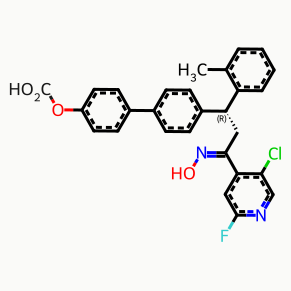 Cc1ccccc1[C@H](CC(=NO)c1cc(F)ncc1Cl)c1ccc(-c2ccc(OC(=O)O)cc2)cc1